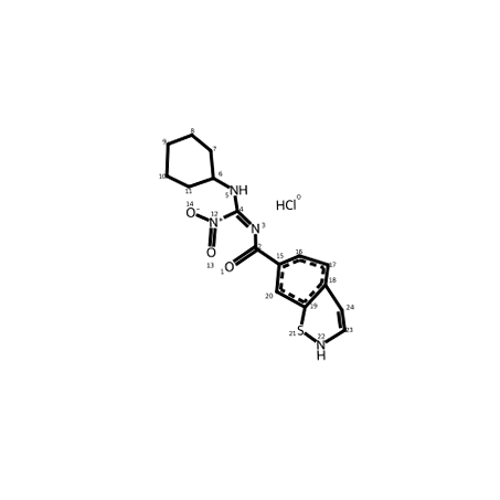 Cl.O=C(N=C(NC1CCCCC1)[N+](=O)[O-])c1ccc2c(c1)SNC=C2